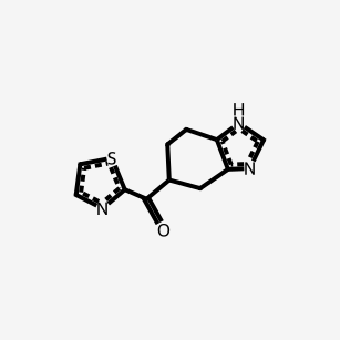 O=C(c1nccs1)C1CCc2[nH]cnc2C1